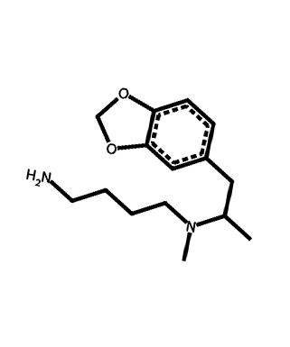 CC(Cc1ccc2c(c1)OCO2)N(C)CCCCN